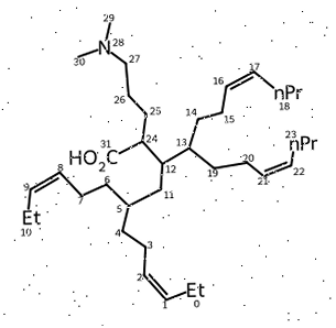 CC/C=C\CCC(CC/C=C\CC)CC(C(CC/C=C\CCC)CC/C=C\CCC)C(CCCN(C)C)C(=O)O